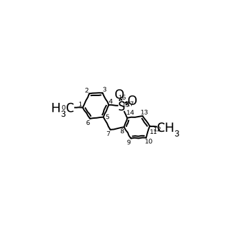 Cc1ccc2c(c1)Cc1ccc(C)cc1S2(=O)=O